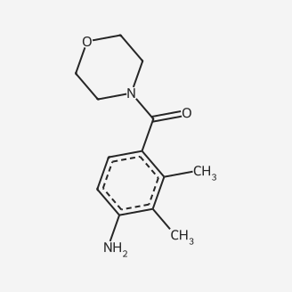 Cc1c(N)ccc(C(=O)N2CCOCC2)c1C